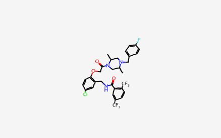 CC1CN(C(=O)COc2ccc(Cl)cc2CNC(=O)c2cc(C(F)(F)F)ccc2C(F)(F)F)C(C)CN1Cc1ccc(F)cc1